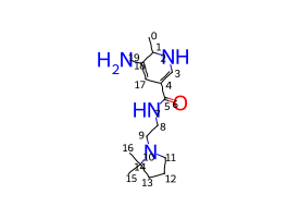 CC1NC=C(C(=O)NCCN2CCCC2(C)C)C=C1N